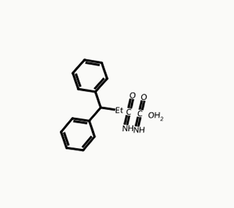 CCC(c1ccccc1)c1ccccc1.N=C=O.N=C=O.O